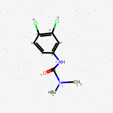 CCCCN(C)C(=O)Nc1ccc(Cl)c(Cl)c1